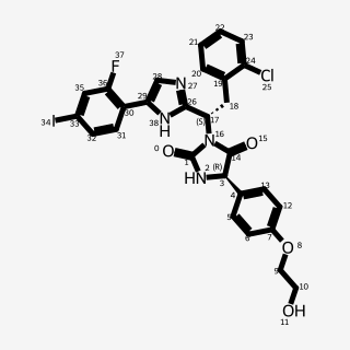 O=C1N[C@H](c2ccc(OCCO)cc2)C(=O)N1[C@@H](Cc1ccccc1Cl)c1ncc(-c2ccc(I)cc2F)[nH]1